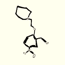 O=Cc1cc([N+](=O)[O-])ccc1OCCN1CCCCC1